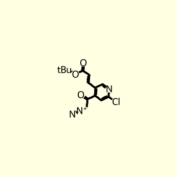 CC(C)(C)OC(=O)C=Cc1cnc(Cl)cc1C(=O)C=[N+]=[N-]